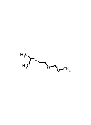 COCOCCOC(C)C